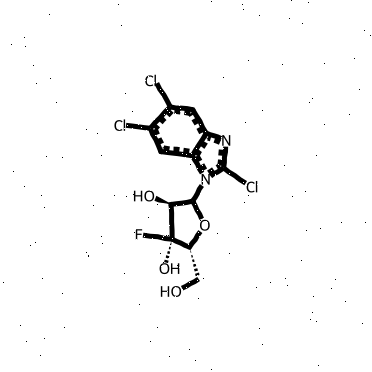 OC[C@H]1OC(n2c(Cl)nc3cc(Cl)c(Cl)cc32)[C@H](O)[C@]1(O)F